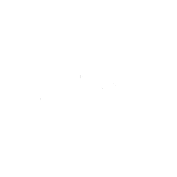 FC(F)(F)c1cc(Nc2cc(C3CCC3)n[nH]2)cc(C(F)(F)F)c1